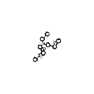 c1ccc(-c2cccc(N(c3ccc(-c4cccc5c4oc4ccccc45)cc3)c3cccc4c3oc3ccc5oc(-c6ccccc6)nc5c34)c2)cc1